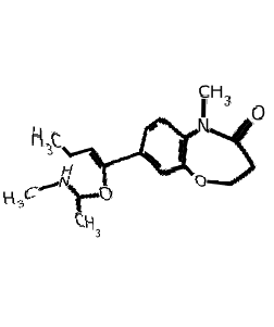 CC/C=C(\OC(C)NC)c1ccc2c(c1)OCCC(=O)N2C